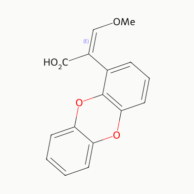 CO/C=C(/C(=O)O)c1cccc2c1Oc1ccccc1O2